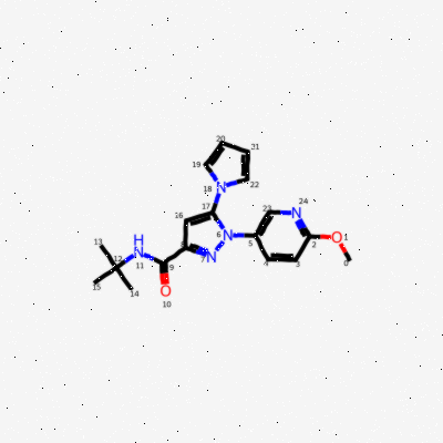 COc1ccc(-n2nc(C(=O)NC(C)(C)C)cc2-n2cccc2)cn1